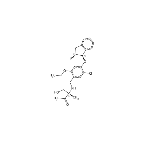 CCOc1cc(O[C@@H]2c3ccccc3C[C@@H]2F)c(Cl)cc1CN[C@@](C)(CO)C(C)=O